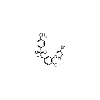 Cc1ccc(S(=O)(=O)Nc2ccc(O)c(-n3cc(Br)cn3)c2)cc1